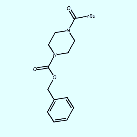 [CH2]CCCC(=O)N1CCN(C(=O)OCc2ccccc2)CC1